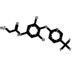 CCC(=O)Nc1cc(Cl)c(Oc2ccc(C(F)(F)F)cn2)c(Cl)c1